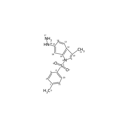 Cc1ccc(S(=O)(=O)n2cc(C)c3ccc(NN)cc32)cc1